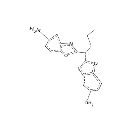 CCCC(c1nc2cc(N)ccc2o1)c1nc2cc(N)ccc2o1